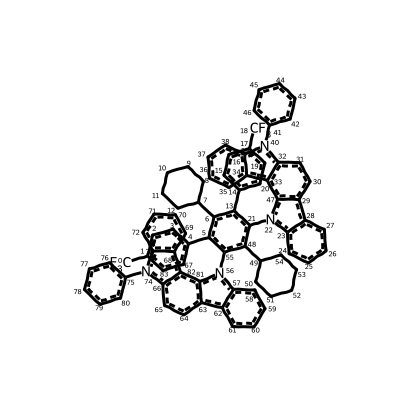 FC(F)(F)c1ccc(-c2c(C3CCCCC3)c(-c3ccc(C(F)(F)F)cc3)c(-n3c4ccccc4c4ccc5c(c6ccccc6n5-c5ccccc5)c43)c(C3CCCCC3)c2-n2c3ccccc3c3ccc4c(c5ccccc5n4-c4ccccc4)c32)cc1